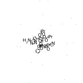 CC(C)C(=O)O[C@H]1[C@H](c2ccc3c(N)ncnn23)O[C@](C)(CO[P@](=O)(N[C@@H](C)C(=O)O[C@@H]2CCN(C)C2)Oc2ccccc2)[C@H]1OC(=O)C(C)C